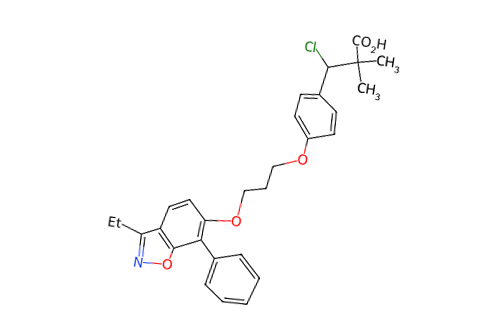 CCc1noc2c(-c3ccccc3)c(OCCCOc3ccc(C(Cl)C(C)(C)C(=O)O)cc3)ccc12